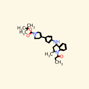 CCC(=O)N1c2ccccc2[C@H](Nc2ccc(C3=CCN(C(=O)OC(C)(C)C)CC3)cc2)C[C@@H]1C